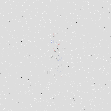 C[C@H]1Cc2oc(C(=O)NC[C@@H]3CCCO3)c(C(F)(F)F)c2-c2nn(CC3CCN(C(=O)C4(C)CC4)CC3)cc21